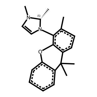 Cc1ccc2c(c1N1C=CN(C)[C@@H]1C)Oc1ccccc1C2(C)C